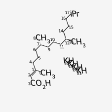 C/C(=C\C(=O)O)CCC[C@H](C)CCC[C@H](C)CCCC(C)C.[KH].[KH].[KH].[KH]